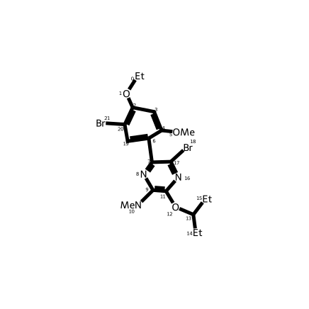 CCOc1cc(OC)c(-c2nc(NC)c(OC(CC)CC)nc2Br)cc1Br